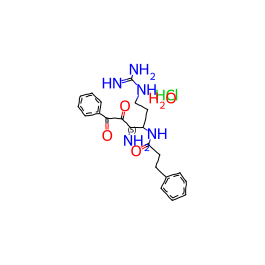 Cl.N=C(N)NCCC(NC(=O)CCc1ccccc1)[C@H](N)C(=O)C(=O)c1ccccc1.O